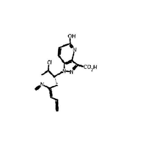 C=C/C=C(\C[C@H](C(C)Cl)n1nc(C(=O)O)c2nc(O)ccc21)N=C